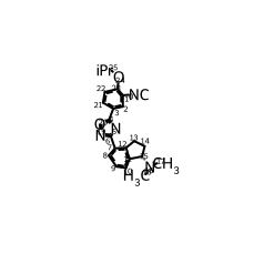 [C-]#[N+]c1cc(-c2nc(-c3cccc4c3CC[C@@H]4N(C)C)no2)ccc1OC(C)C